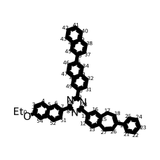 CCOc1ccc2cc(-c3nc(-c4ccc5c(c4)CC=C(c4ccccc4)C=C5)nc(-c4ccc5cc(-c6ccc7ccccc7c6)ccc5c4)n3)ccc2c1